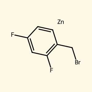 Fc1ccc(CBr)c(F)c1.[Zn]